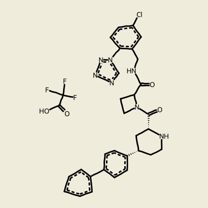 O=C(NCc1cc(Cl)ccc1-n1cnnn1)C1CCN1C(=O)[C@H]1C[C@@H](c2ccc(-c3ccccc3)cc2)CCN1.O=C(O)C(F)(F)F